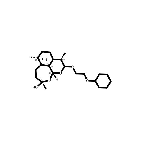 C[C@H]1C(OCCOC2CCCCC2)O[C@@H]2O[C@](C)(O)CCC3[C@H](C)CCC1[C@]32O